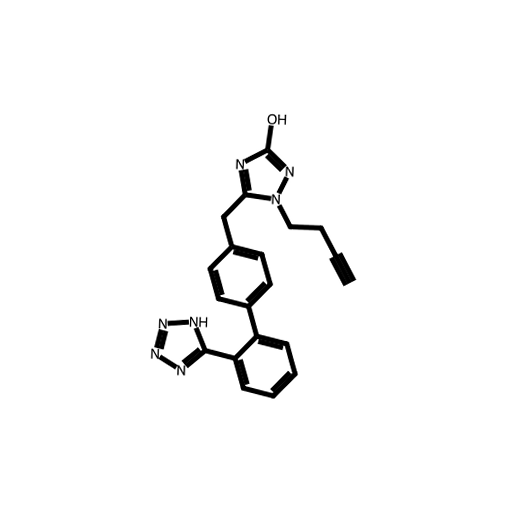 C#CCCn1nc(O)nc1Cc1ccc(-c2ccccc2-c2nnn[nH]2)cc1